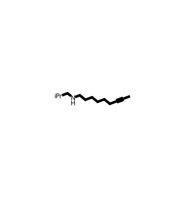 CC#CCCCCCCNCC(C)C